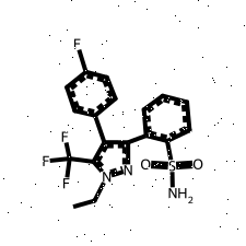 CCn1nc(-c2ccccc2S(N)(=O)=O)c(-c2ccc(F)cc2)c1C(F)(F)F